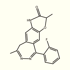 CC1=NN=C(c2ccccc2F)c2cc3c(cc2C1)NC(=O)C(C)O3